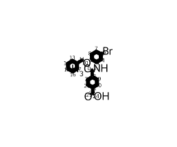 CC(Nc1cc(Br)ccc1OCc1ccccc1)c1ccc(C(=O)O)cc1